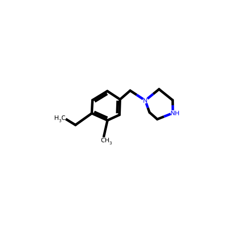 CCc1ccc(CN2CCNCC2)cc1C